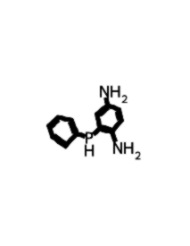 Nc1ccc(N)c(Pc2ccccc2)c1